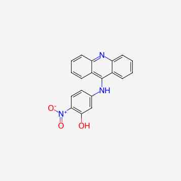 O=[N+]([O-])c1ccc(Nc2c3ccccc3nc3ccccc23)cc1O